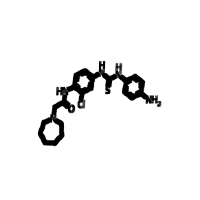 Nc1ccc(NC(=S)Nc2ccc(NC(=O)CN3CCCCCC3)c(Cl)c2)cc1